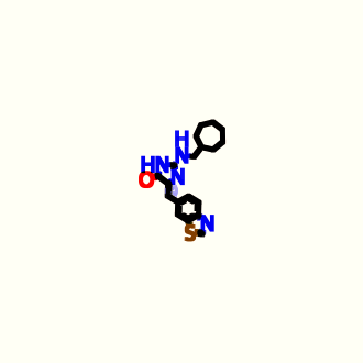 O=C1NC(NCC2CCCCCC2)=N/C1=C\c1ccc2ncsc2c1